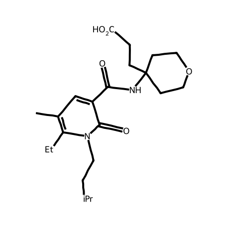 CCc1c(C)cc(C(=O)NC2(CCC(=O)O)CCOCC2)c(=O)n1CCC(C)C